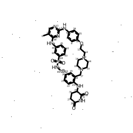 Cc1cnc(Nc2ccc(OCCN3CCN(Cc4ccccc4NC4CCC(=O)NC4=O)CC3)cc2)nc1Nc1cccc(S(=O)(=O)NC(C)(C)C)c1